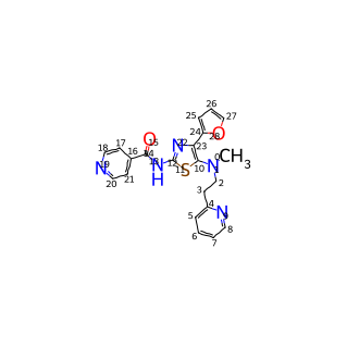 CN(CCc1ccccn1)c1sc(NC(=O)c2ccncc2)nc1-c1ccco1